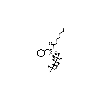 CCCCCCC(=O)C[S+](CC1CCCCC1)OS(=O)(=O)C(F)(F)C(F)(F)C(F)(F)C(F)(F)F